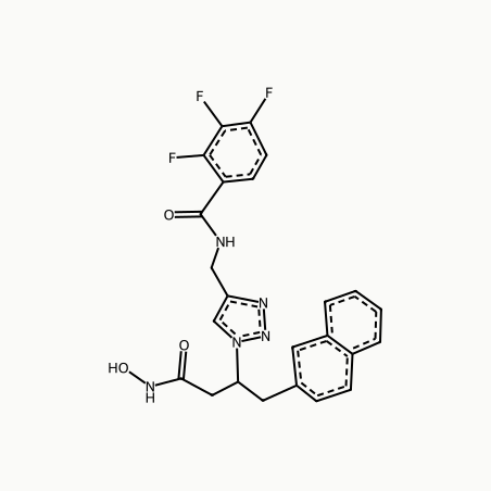 O=C(CC(Cc1ccc2ccccc2c1)n1cc(CNC(=O)c2ccc(F)c(F)c2F)nn1)NO